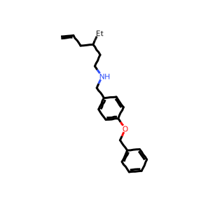 C=CCC(CC)CCNCc1ccc(OCc2ccccc2)cc1